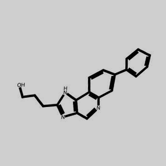 OCCCc1nc2cnc3cc(-c4ccccc4)ccc3c2[nH]1